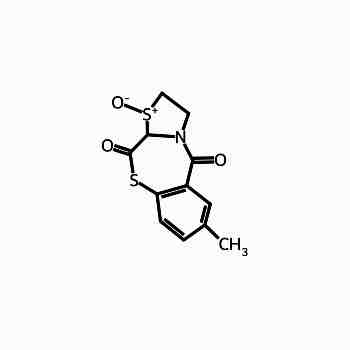 Cc1ccc2c(c1)C(=O)N1CC[S+]([O-])C1C(=O)S2